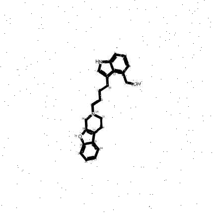 OCc1cccc2[nH]cc(CCCCN3CCc4c(oc5ccccc45)C3)c12